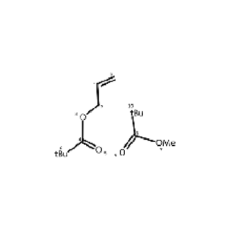 C=CCOC(=O)C(C)(C)C.COC(=O)C(C)(C)C